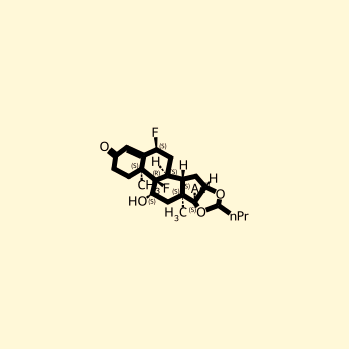 [CH2]C(=O)[C@@]12OC(CCC)O[C@@H]1C[C@H]1[C@@H]3C[C@H](F)C4=CC(=O)CC[C@]4(C)[C@@]3(F)[C@@H](O)C[C@@]12C